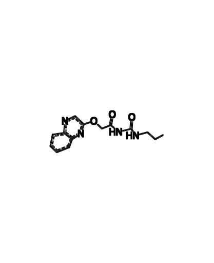 CCCNC(=O)NC(=O)COc1cnc2ccccc2n1